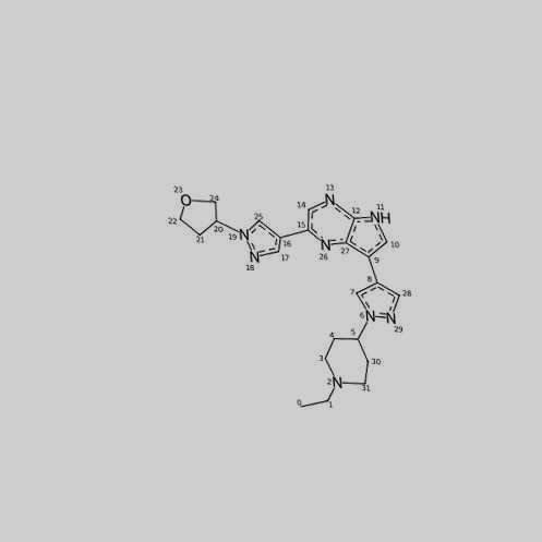 CCN1CCC(n2cc(-c3c[nH]c4ncc(-c5cnn(C6CCOC6)c5)nc34)cn2)CC1